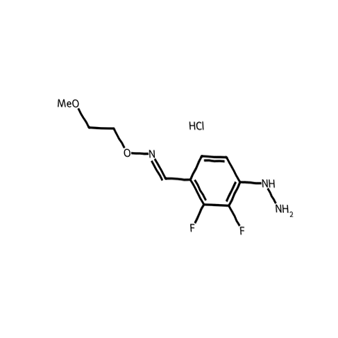 COCCON=Cc1ccc(NN)c(F)c1F.Cl